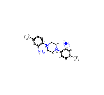 Nc1cc(C(F)(F)F)ccc1N1CCN(c2ccc(C(F)(F)F)cc2N)CC1